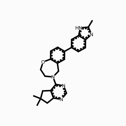 Cc1nc2ccc(-c3ccc4c(c3)CN(c3ncnc5c3CC(C)(C)C5)CCO4)cc2[nH]1